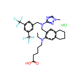 CCN(CCCCC(=O)O)c1cc2c(cc1CN(Cc1cc(C(F)(F)F)cc(C(F)(F)F)c1)c1ncn(C)n1)CCCC2.Cl